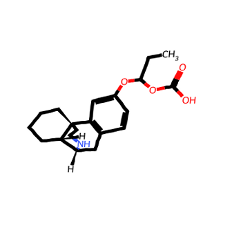 CCC(OC(=O)O)Oc1ccc2c(c1)[C@@]13CCCC[C@H]1[C@@H](C2)NCC3